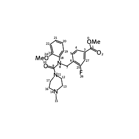 COC(=O)c1ccc(CN(C(=O)N2CCN(C)CC2)c2ccccc2OC)c(F)c1